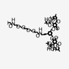 COc1cc2c(cc1OCc1cc(C#CCNC(=O)CCOCCOCCOCCOCCNC(=O)CI)cc(COc3cc4c(cc3OC)C(=O)N3C=C(C)C[C@H]3[C@H](O)N4C(=O)OC(C)(C)C)c1)N(C(=O)OC(C)(C)C)[C@@H](O)[C@@H]1CC(C)=CN1C2=O